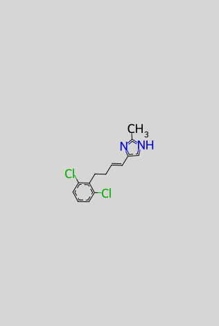 Cc1nc(C=CCCc2c(Cl)cccc2Cl)c[nH]1